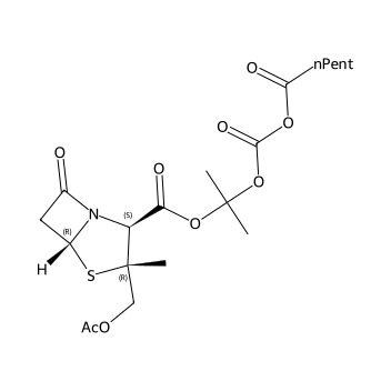 CCCCCC(=O)OC(=O)OC(C)(C)OC(=O)[C@@H]1N2C(=O)C[C@H]2S[C@@]1(C)COC(C)=O